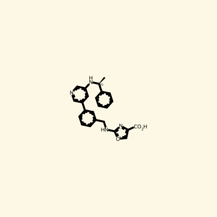 C[C@H](Nc1cncc(-c2cccc(CNc3nc(C(=O)O)co3)c2)c1)c1ccccc1